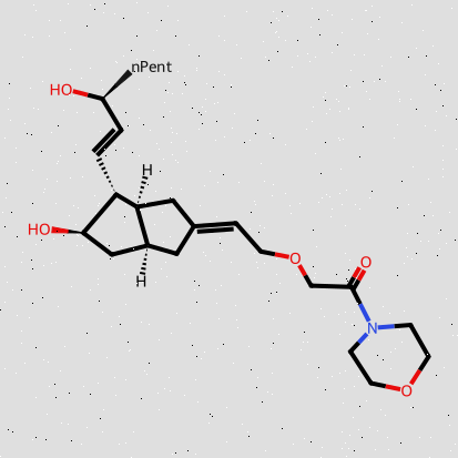 CCCCC[C@H](O)C=C[C@@H]1[C@H]2CC(=CCOCC(=O)N3CCOCC3)C[C@H]2C[C@H]1O